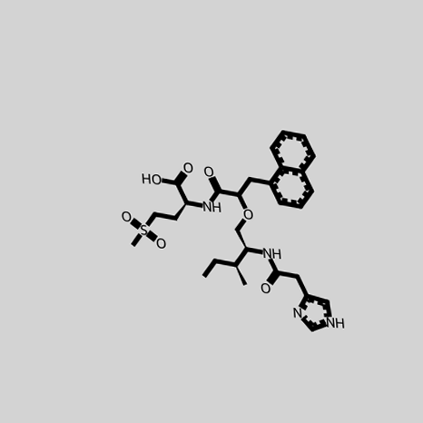 CC[C@H](C)[C@@H](COC(Cc1cccc2ccccc12)C(=O)N[C@@H](CCS(C)(=O)=O)C(=O)O)NC(=O)Cc1c[nH]cn1